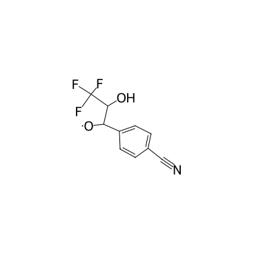 N#Cc1ccc(C([O])C(O)C(F)(F)F)cc1